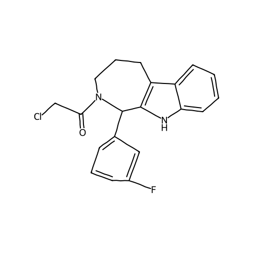 O=C(CCl)N1CCCc2c([nH]c3ccccc23)C1c1cccc(F)c1